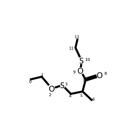 CCOSCC(C)C(=O)OSCC